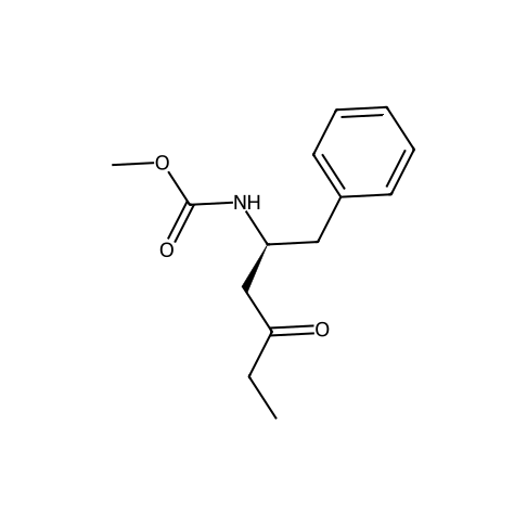 CCC(=O)C[C@H](Cc1ccccc1)NC(=O)OC